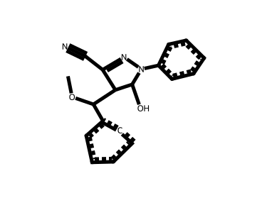 COC(c1ccccc1)C1C(C#N)=NN(c2ccccc2)C1O